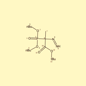 CCCCOP(=O)(OCCCC)C(C)(N=N)C(=O)OC(C)(C)C